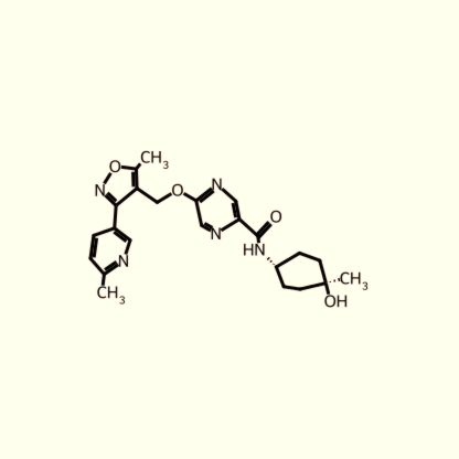 Cc1ccc(-c2noc(C)c2COc2cnc(C(=O)N[C@H]3CC[C@](C)(O)CC3)cn2)cn1